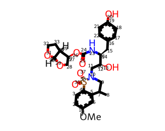 COc1ccc2c(c1)C(C)CN(C[C@@H](O)[C@H](Cc1ccc(O)cc1)NC(=O)O[C@H]1CO[C@H]3OCC[C@H]31)S2(=O)=O